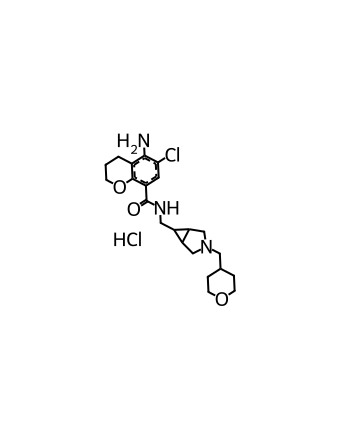 Cl.Nc1c(Cl)cc(C(=O)NCC2C3CN(CC4CCOCC4)CC23)c2c1CCCO2